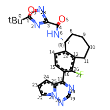 CC(C)(C)c1nc(C(=O)N[C@@H]2CCCCc3c2ccc(-c2ncnn4cccc24)c3F)no1